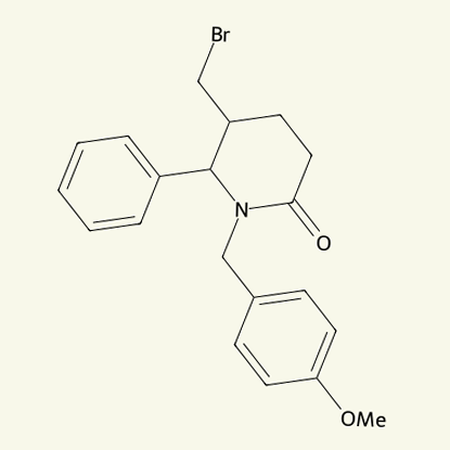 COc1ccc(CN2C(=O)CCC(CBr)C2c2ccccc2)cc1